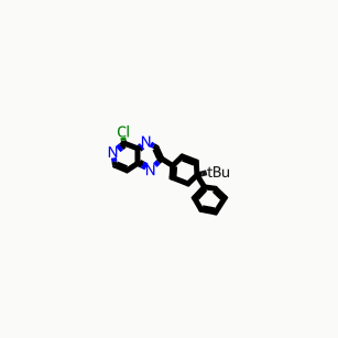 CC(C)(C)C1(c2ccccc2)C=CC(c2cnc3c(Cl)nccc3n2)=CC1